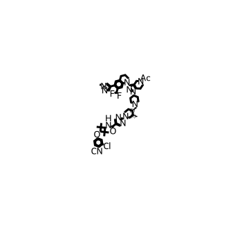 CC(=O)N1CCc2c(c(N3CCCc4cc(-c5cnn(C)c5)c(C(F)F)cc43)nn2C2CCN(C[C@@H]3CCN(c4ncc(C(=O)NC5C(C)(C)C(Oc6ccc(C#N)c(Cl)c6)C5(C)C)cn4)C[C@@H]3C)CC2)C1